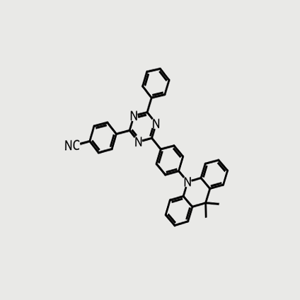 CC1(C)c2ccccc2N(c2ccc(-c3nc(-c4ccccc4)nc(-c4ccc(C#N)cc4)n3)cc2)c2ccccc21